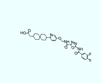 O=C(O)CC1CCC2(CC1)CCC(c1ccc(OCNC(=O)c3nnc(NC(=O)c4ccc(F)c(F)c4)o3)cn1)CC2